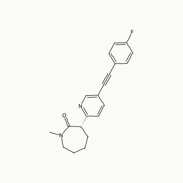 CN1CCCC[C@@H](c2ccc(C#Cc3ccc(F)cc3)cn2)C1=O